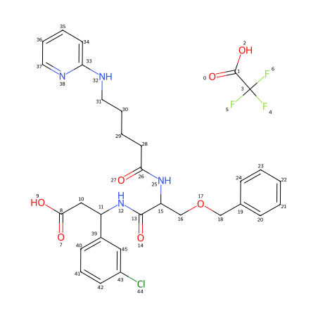 O=C(O)C(F)(F)F.O=C(O)CC(NC(=O)C(COCc1ccccc1)NC(=O)CCCCNc1ccccn1)c1cccc(Cl)c1